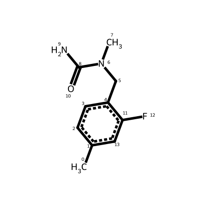 Cc1ccc(CN(C)C(N)=O)c(F)c1